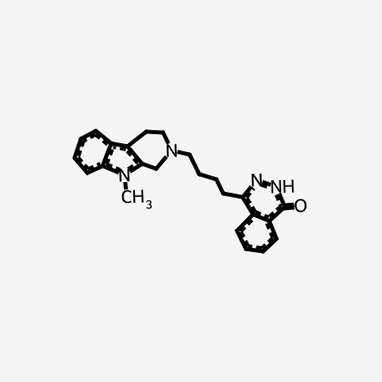 Cn1c2c(c3ccccc31)CCN(CCCCc1n[nH]c(=O)c3ccccc13)C2